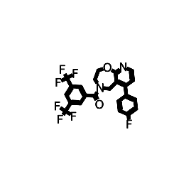 O=C(c1cc(C(F)(F)F)cc(C(F)(F)F)c1)N1CCOc2nccc(-c3ccc(F)cc3)c2C1